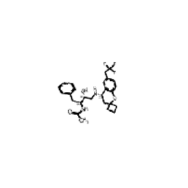 CC(=O)N[C@@H](Cc1ccccc1)[C@H](O)CN[C@H]1CC2(CCC2)Oc2ccc(CC(F)(F)F)cc21